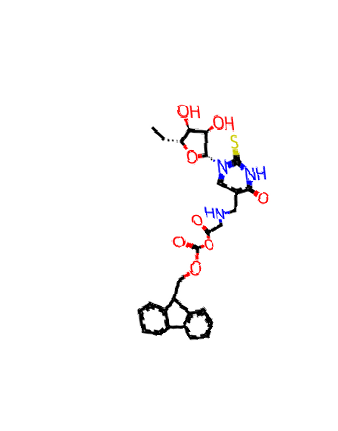 CC[C@H]1O[C@@H](n2cc(CNCC(=O)OC(=O)OCC3c4ccccc4-c4ccccc43)c(=O)[nH]c2=S)[C@H](O)[C@@H]1O